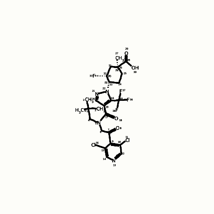 CC(C)(C)CN(CC(=O)c1c(Cl)cncc1Cl)C(=O)c1cnn([C@H]2CC[C@](C)(C(=O)O)C[C@H]2F)c1C(F)(F)F